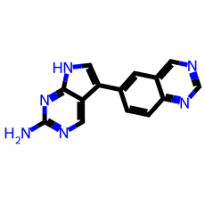 Nc1ncc2c(-c3ccc4ncncc4c3)c[nH]c2n1